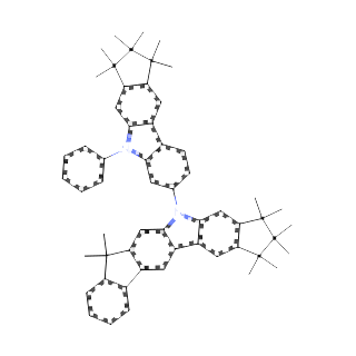 CC1(C)c2ccccc2-c2cc3c4cc5c(cc4n(-c4ccc6c7cc8c(cc7n(-c7ccccc7)c6c4)C(C)(C)C(C)(C)C8(C)C)c3cc21)C(C)(C)C(C)(C)C5(C)C